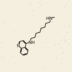 CNCCCCCCCCNc1ccnc2ccccc12